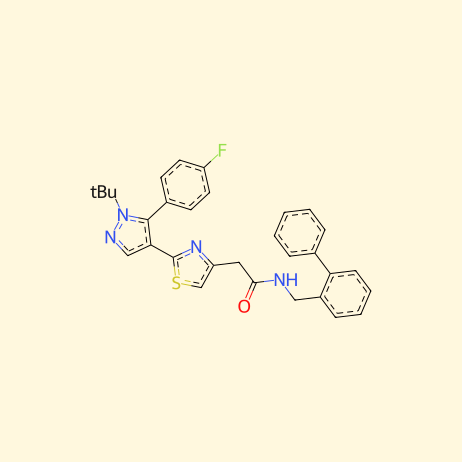 CC(C)(C)n1ncc(-c2nc(CC(=O)NCc3ccccc3-c3ccccc3)cs2)c1-c1ccc(F)cc1